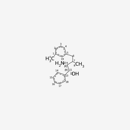 Cc1cccc(CC(C)[C@@H](N)[C@H](O)c2ccccc2)c1